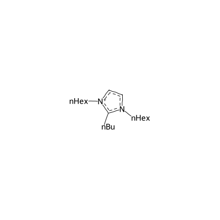 CCCCCCn1cc[n+](CCCCCC)c1CCCC